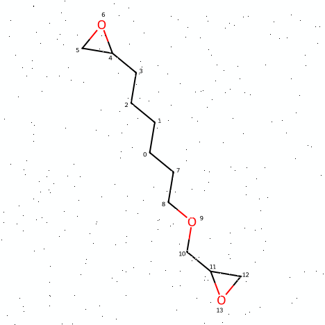 C(CCCC1CO1)CCOCC1CO1